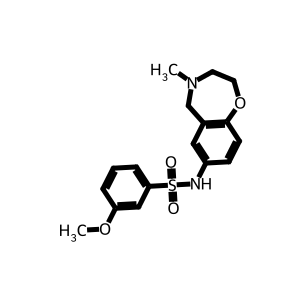 COc1cccc(S(=O)(=O)Nc2ccc3c(c2)CN(C)CCO3)c1